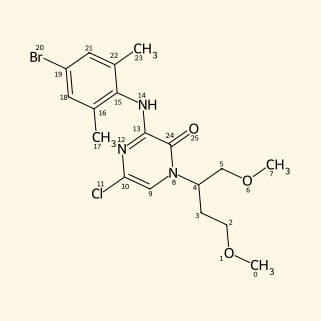 COCCC(COC)n1cc(Cl)nc(Nc2c(C)cc(Br)cc2C)c1=O